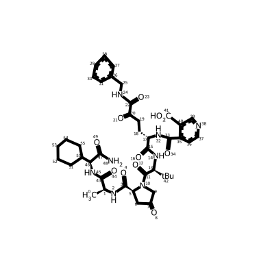 C[C@H](NC(=O)[C@@H]1CC(=O)CN1C(=O)[C@@H](NC(=O)[C@H](CCC(=O)C(=O)NCc1ccccc1)NC(=O)c1ccncc1C(=O)O)C(C)(C)C)C(=O)N[C@H](C(N)=O)C1CCCCC1